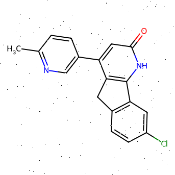 Cc1ccc(-c2cc(=O)[nH]c3c2Cc2ccc(Cl)cc2-3)cn1